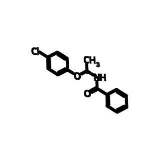 C[C](NC(=O)c1ccccc1)Oc1ccc(Cl)cc1